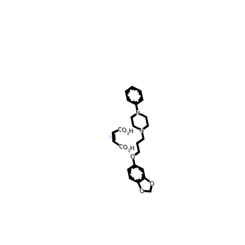 O=C(O)/C=C\C(=O)O.c1ccc(N2CCN(CCCOc3ccc4c(c3)OCO4)CC2)cc1